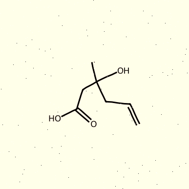 [CH2]C(O)(CC=C)CC(=O)O